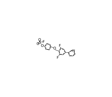 O=S(=O)(F)Oc1ccc(OCc2c(F)cc(-c3cccnc3)cc2F)cc1